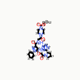 CCCCOC(=O)N1CCN(C(=O)CNC(=O)c2cc(OCC(=O)N3CCC[C@H]3c3nnn[nH]3)n(-c3ccccc3)n2)CC1